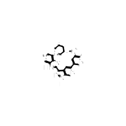 CN(C)c1cncc(-c2cc3c(cn2)NNC3c2nc3c(N4CCCCC4)cncc3[nH]2)c1